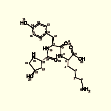 NCCCC[C@H](NC(=O)[C@H](Cc1ccc(O)cc1)NC(=O)[C@@H]1C[C@@H](O)CN1)C(=O)O